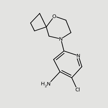 Nc1cc(N2CCOC3(CCC3)C2)ncc1Cl